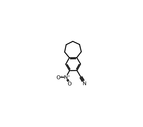 N#Cc1cc2c(cc1[N+](=O)[O-])CCCCC2